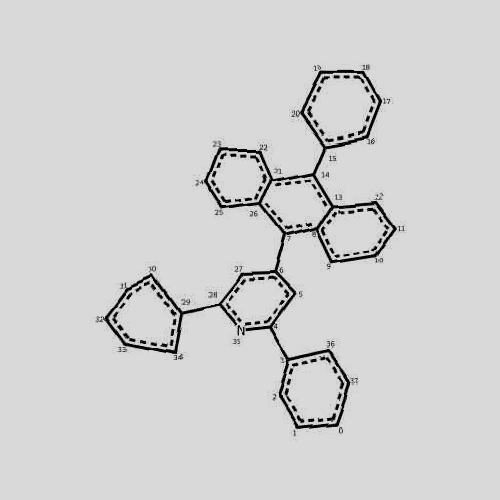 c1ccc(-c2cc(-c3c4ccccc4c(-c4ccccc4)c4ccccc34)cc(-c3ccccc3)n2)cc1